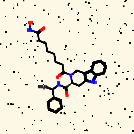 O=C(CCCCCCC(=O)N1Cc2c([nH]c3ccccc23)C[C@@H]1C(=O)N[C@H](C(=O)O)c1ccccc1)NO